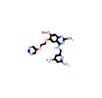 COc1cc2nc(C)nc(NCc3cc(C(F)(F)F)cc(N)n3)c2cc1OCCOc1cncnc1